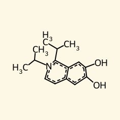 CC(C)c1c2cc(O)c(O)cc2cc[n+]1C(C)C